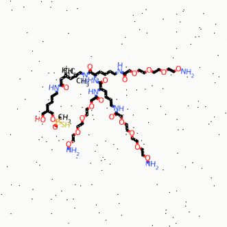 CC(CC(=O)NCCCCC(CO)COP(C)(=O)S)CC(C)(C)CNC(=O)C(CCCCNC(=O)COCCOCCOCCON)NC(=O)C(CCCCNC(=O)COCCOCCOCCON)NC(=O)COCCOCCOCCON